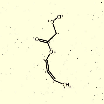 CC=C=COC(=O)COCl